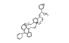 C=Cc1ccc(C(/C=C\C)=C/C(C)c2cccnc2)cc1/C=C\Cc1c2ccccc2c(C2C=CC=CC2)c2ccccc12